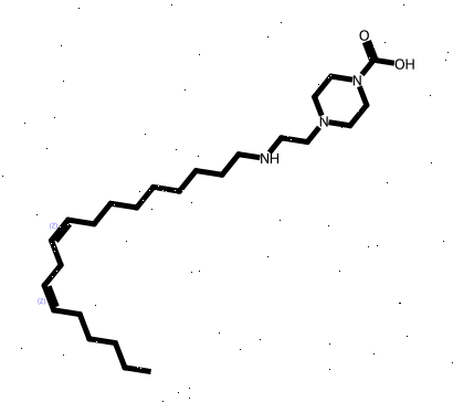 CCCCC/C=C\C/C=C\CCCCCCCCNCCN1CCN(C(=O)O)CC1